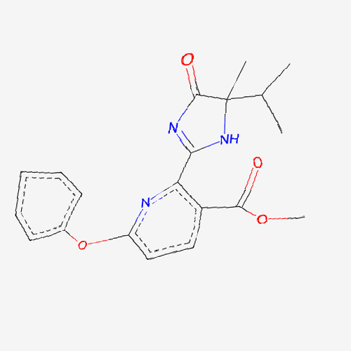 COC(=O)c1ccc(Oc2ccccc2)nc1C1=NC(=O)C(C)(C(C)C)N1